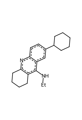 CCNc1c2c(nc3ccc(C4CCCCC4)cc13)CCCC2